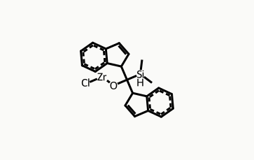 C[SiH](C)C([O][Zr][Cl])(C1C=Cc2ccccc21)C1C=Cc2ccccc21